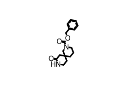 O=C1CC2(CCCN(C(=O)OCc3ccccc3)C2)CCN1